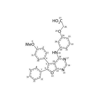 COc1ccc(-c2c(-c3ccccc3)oc3ncnc(Nc4cccc(OCC(=O)O)c4)c23)cc1